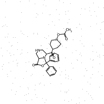 CC(=O)ON1CCC(C(=O)C2CNCC3C(=O)OC(c4ccccc4)(c4ccccc4)N32)CC1